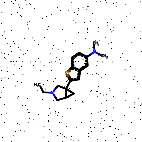 CCN1CC2CC2(c2cc3cc(N(C)C)ccc3s2)C1